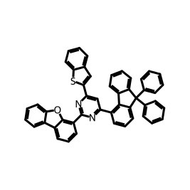 c1ccc(C2(c3ccccc3)c3ccccc3-c3c(-c4cc(-c5cc6ccccc6s5)nc(-c5cccc6c5oc5ccccc56)n4)cccc32)cc1